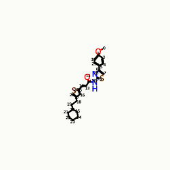 COc1ccc(-c2csc(NC(=O)C=Cc3cc(CCC4CCCCC4)cs3)n2)cc1